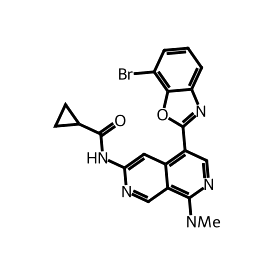 CNc1ncc(-c2nc3cccc(Br)c3o2)c2cc(NC(=O)C3CC3)ncc12